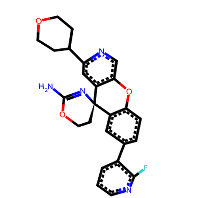 NC1=N[C@@]2(CCO1)c1cc(-c3cccnc3F)ccc1Oc1cnc(C3CCOCC3)cc12